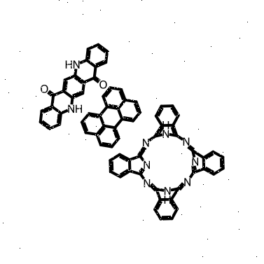 O=c1c2ccccc2[nH]c2cc3c(=O)c4ccccc4[nH]c3cc12.c1cc2cccc3c4cccc5cccc(c(c1)c23)c54.c1ccc2c(c1)-c1nc-2nc2[nH]c(nc3nc(nc4[nH]c(n1)c1ccccc41)-c1ccccc1-3)c1ccccc21